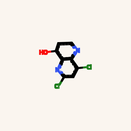 Oc1ccnc2c(Cl)cc(Cl)nc12